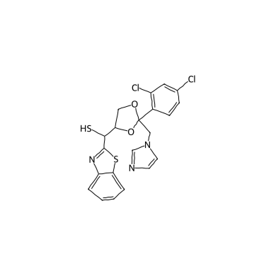 SC(c1nc2ccccc2s1)C1COC(Cn2ccnc2)(c2ccc(Cl)cc2Cl)O1